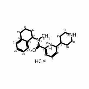 CN(C(=O)C1=CC=CC(C2CCNCC2)N1)C1CCCc2ccccc21.Cl